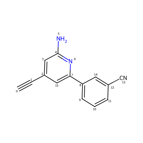 C#Cc1cc(N)nc(-c2cccc(C#N)c2)c1